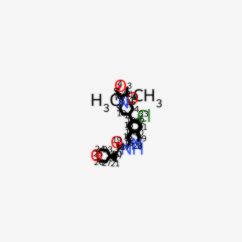 CO[C@H]1COC[C@@]1(C)N1CCC(c2cc3cc(NC(=O)[C@H]4CC45CCOCC5)ncc3cc2Cl)CC1